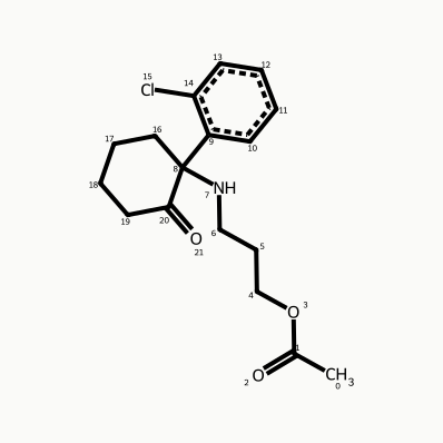 CC(=O)OCCCNC1(c2ccccc2Cl)CCCCC1=O